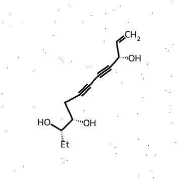 C=C[C@H](O)C#CC#CC[C@H](O)[C@@H](O)CC